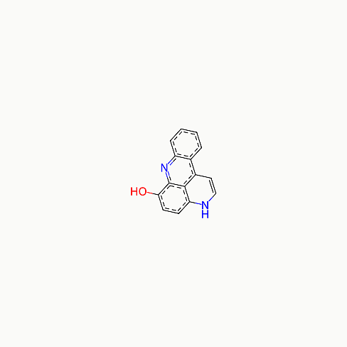 Oc1ccc2c3c(c4ccccc4nc13)C=CN2